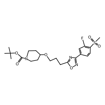 CC(C)(C)OC(=O)N1CCC(OCCCc2nc(-c3ccc(S(C)(=O)=O)c(F)c3)no2)CC1